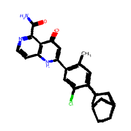 Cc1cc(C2CC3CCC2C3)c(Cl)cc1-c1cc(=O)c2c(C(N)=O)nccc2[nH]1